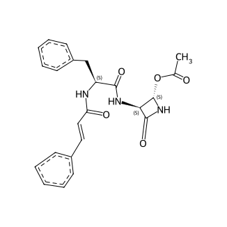 CC(=O)O[C@@H]1NC(=O)[C@H]1NC(=O)[C@H](Cc1ccccc1)NC(=O)C=Cc1ccccc1